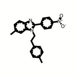 Cc1ccc(CCn2c(-c3ccc([N+](=O)[O-])cc3)nc3ccc(C)cc32)cc1